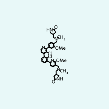 COc1cc(-c2nccc(-c3cccc(-c4ccc(CN(C)CC5CNC(=O)C5)c(OC)n4)c3Cl)c2Cl)ccc1CN(C)CC1CNC(=O)C1